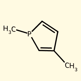 Cc1ccp(C)c1